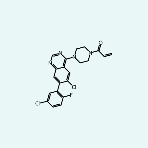 C=CC(=O)N1CCN(c2ncnc3cc(-c4cc(Cl)ccc4F)c(Cl)cc23)CC1